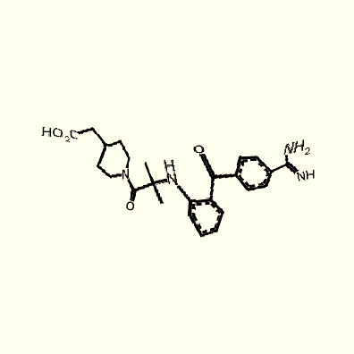 CC(C)(Nc1ccccc1C(=O)c1ccc(C(=N)N)cc1)C(=O)N1CCC(CC(=O)O)CC1